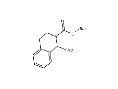 CC(C)(C)OC(=O)N1CCc2ccccc2C1[C]=O